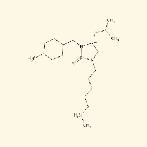 C[SiH2]CCCCCN1C[C@@H](CC(C)C)N(CC2CCC(C)CC2)C1=S